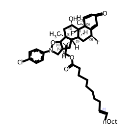 CCCCCCCC/C=C/CCCCCCCC(=O)OCC(=O)[C@@]12ON(c3ccc(Cl)cc3)C[C@@H]1C[C@H]1[C@@H]3C[C@H](F)C4=CC(=O)C=C[C@]4(C)[C@@]3(F)[C@@H](O)C[C@@]12C